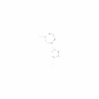 Cc1nccc(-c2ccc(N)s2)n1